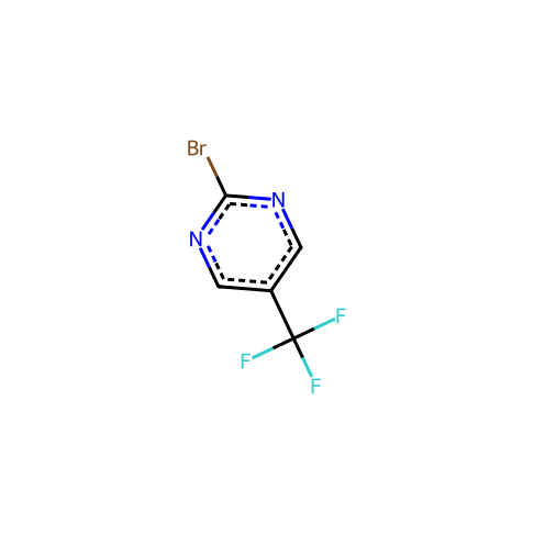 FC(F)(F)c1cnc(Br)nc1